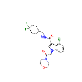 O=C(NCC1CCC(F)(F)CC1)c1cn(CC(=O)N2CCOCC2)c2cccc(Cl)c12